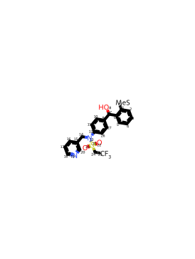 CSc1ccccc1C(O)c1ccc(N(Cc2cccnc2)S(=O)(=O)CC(F)(F)F)cc1